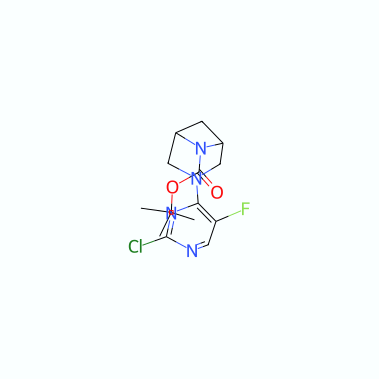 CC(C)(C)OC(=O)N1C2CC1CN(c1nc(Cl)ncc1F)C2